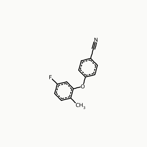 Cc1ccc(F)cc1Oc1ccc(C#N)cc1